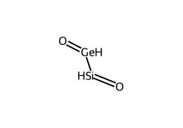 O=[SiH][GeH]=[O]